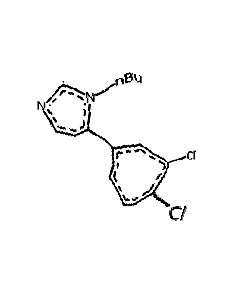 CCCCn1[c]ncc1-c1ccc(Cl)c(Cl)c1